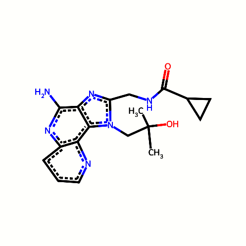 CC(C)(O)Cn1c(CNC(=O)C2CC2)nc2c(N)nc3cccnc3c21